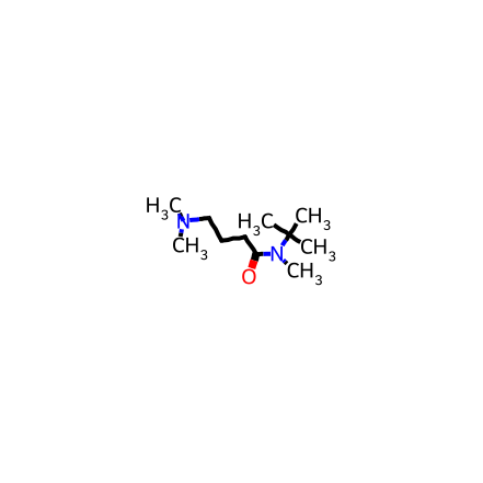 CN(C)CCCC(=O)N(C)C(C)(C)C